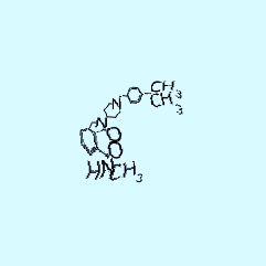 CNC(=O)c1cccc2c1C(=O)N(C1CCN(Cc3ccc(C(C)C)cc3)CC1)C2